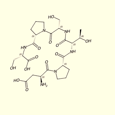 C[C@@H](O)[C@H](NC(=O)[C@@H]1CCCN1C(=O)[C@@H](N)CC(=O)O)C(=O)N[C@@H](CO)C(=O)N1CCC[C@H]1C(=O)N[C@@H](CO)C(=O)O